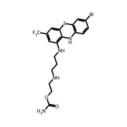 NC(=O)OCCNCCCNc1cc(C(F)(F)F)cc2c1Nc1ccc(Br)cc1S2